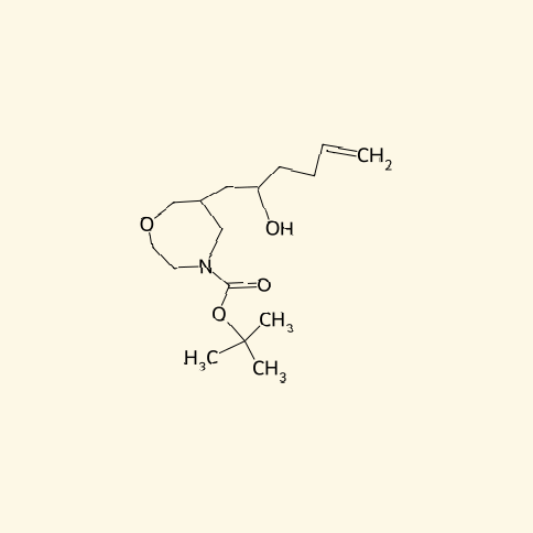 C=CCCC(O)CC1COCCN(C(=O)OC(C)(C)C)C1